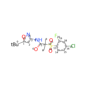 CC(C)(C)c1cc(NC(=O)C(C)(C)S(=O)(=O)c2ccc(Cl)cc2F)no1